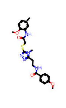 COc1ccc(C(=O)NCCc2nnc(SCC(=O)Nc3cc(C)ccc3OC)n2C)cc1